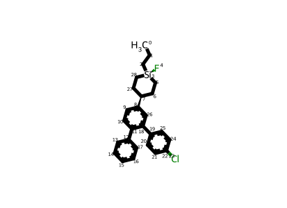 CCC[Si@]1(F)CC[C@@H](c2ccc(-c3ccccc3)c(-c3ccc(Cl)cc3)c2)CC1